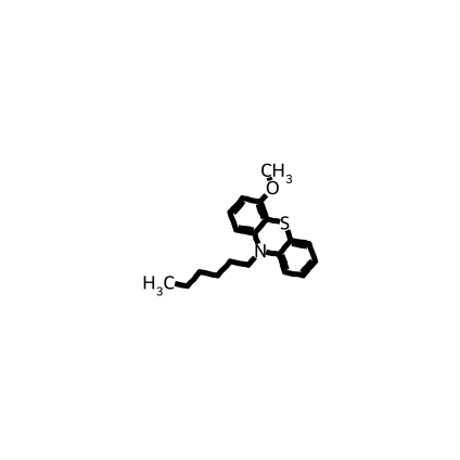 CCCCCCN1c2ccccc2Sc2c(OC)cccc21